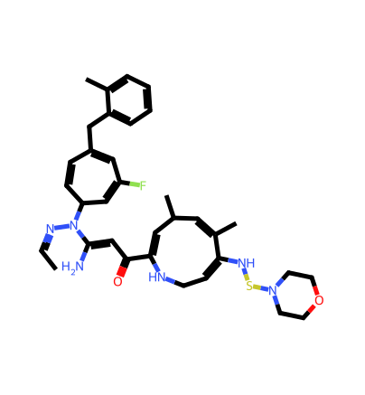 C/C=N\N(/C(N)=C/C(=O)/C1=C/C(C)/C=C(C)\C(NSN2CCOCC2)=C/CN1)C1C=CC(Cc2ccccc2C)=CC(F)=C1